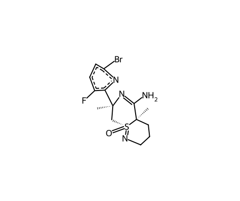 C[C@@]1(c2nc(Br)ccc2F)C[S@@]2(=O)=NCCC[C@]2(C)C(N)=N1